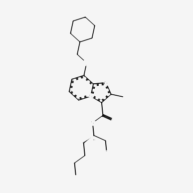 CCCC[C@H](CO)NC(=O)c1c(C)nc2c(OCC3CCCCC3)cccn12